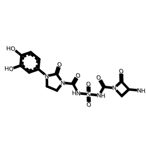 NC1CN(C(=O)NS(=O)(=O)NC(=O)N2CCN(c3ccc(O)c(O)c3)C2=O)C1=O